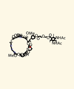 CO[C@H]1C[C@@H]2CC[C@@H](C)[C@@](O)(O2)C(=O)C(=O)N2CCCC[C@H]2C(=O)O[C@H]([C@H](C)C[C@@H]2CC[C@@H](OC(=O)CCOCCOC(=O)c3c(I)c(NC(C)=O)c(I)c(NC(C)=O)c3I)[C@H](OC)C2)CC(=O)[C@H](C)/C=C(\C)[C@@H](O)[C@@H](OC)C(=O)[C@H](C)C[C@H](C)/C=C/C=C/C=C/1C